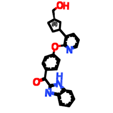 O=C(c1ccc(Oc2ncccc2C2CC[C@@H](CO)C2)cc1)c1nc2ccccc2[nH]1